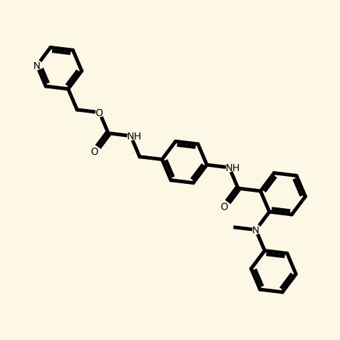 CN(c1ccccc1)c1ccccc1C(=O)Nc1ccc(CNC(=O)OCc2cccnc2)cc1